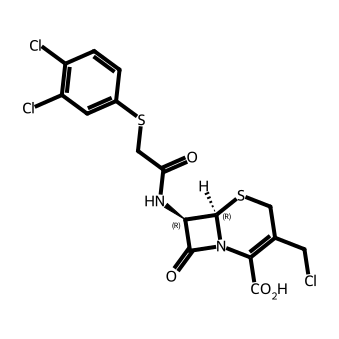 O=C(CSc1ccc(Cl)c(Cl)c1)N[C@@H]1C(=O)N2C(C(=O)O)=C(CCl)CS[C@H]12